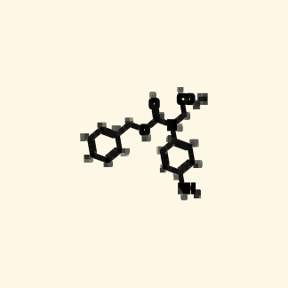 Nc1ccc(N(CC(=O)O)C(=O)OCc2ccccc2)cc1